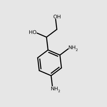 Nc1ccc(C(O)CO)c(N)c1